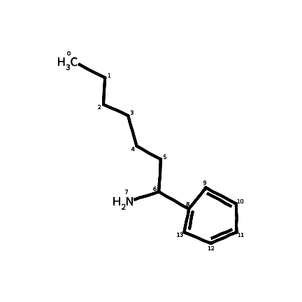 CCCCCCC(N)c1[c]cccc1